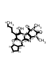 CCCCc1c(O)n2c3c(=O)n(C)c(=O)n(C)c3nc2n(CC2CCCC2)c1=O